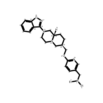 CCN(CC)Cc1ccc(OC[C@@H]2CC[C@H]3CN(c4noc5ccccc45)CCN3C2)nc1